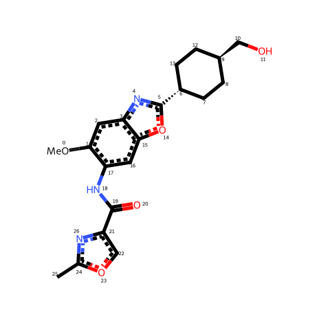 COc1cc2nc([C@H]3CC[C@H](CO)CC3)oc2cc1NC(=O)c1coc(C)n1